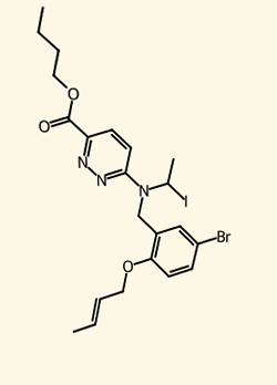 CC=CCOc1ccc(Br)cc1CN(c1ccc(C(=O)OCCCC)nn1)C(C)I